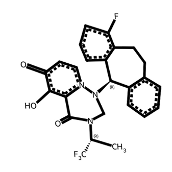 C[C@@H](N1CN([C@@H]2c3ccccc3CCc3c(F)cccc32)n2ccc(=O)c(O)c2C1=O)C(F)(F)F